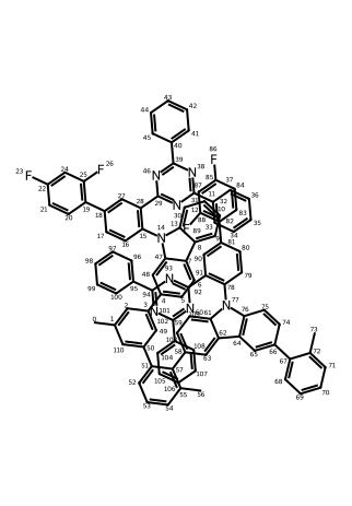 Cc1cc(-c2ccc3c4ccccc4n(-c4ccc(-c5ccc(F)cc5F)cc4-c4nc(-c5ccccc5)nc(-c5ccccc5)n4)c3c2)cc(-c2cccc(C)c2-c2ccc3c(c2)c2cc(-c4ccccc4C)ccc2n3-c2ccc(-c3ccc(F)cc3F)cc2-c2nc(-c3ccccc3)nc(-c3ccccc3)n2)c1